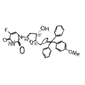 COc1ccc(C(OC[C@H]2O[C@@H](n3cc(F)c(=O)[nH]c3=O)C[C@@H]2O)(c2ccccc2)c2ccccc2)cc1